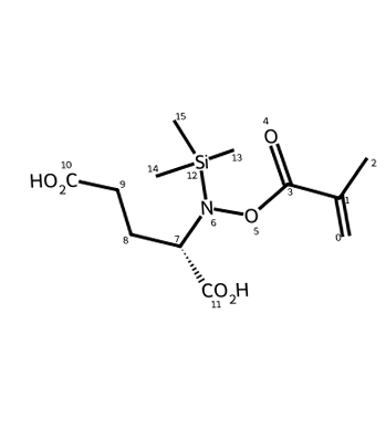 C=C(C)C(=O)ON([C@@H](CCC(=O)O)C(=O)O)[Si](C)(C)C